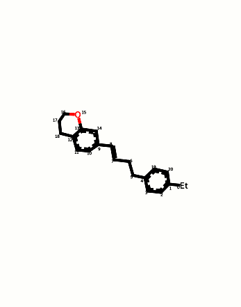 CCc1ccc(CCC=Cc2ccc3c(c2)OCCC3)cc1